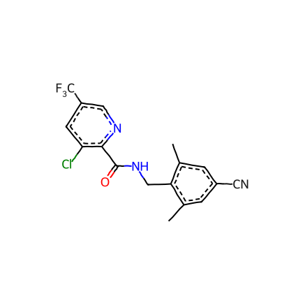 Cc1cc(C#N)cc(C)c1CNC(=O)c1ncc(C(F)(F)F)cc1Cl